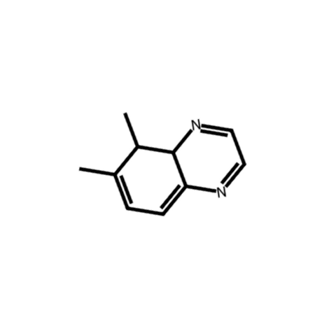 CC1=CC=C2N=CC=NC2C1C